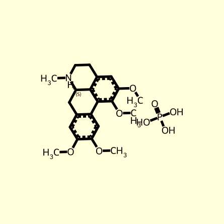 COc1cc2c(cc1OC)-c1c(OC)c(OC)cc3c1[C@H](C2)N(C)CC3.O=P(O)(O)O